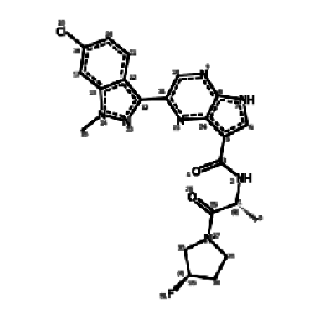 C[C@@H](NC(=O)c1c[nH]c2ncc(-c3nn(C)c4cc(Cl)ccc34)nc12)C(=O)N1CC[C@@H](F)C1